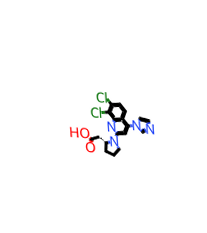 O=C(O)C[C@H]1CCCN1c1cc(-n2ccnc2)c2ccc(Cl)c(Cl)c2n1